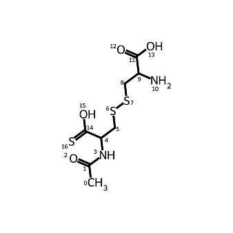 CC(=O)NC(CSSCC(N)C(=O)O)C(O)=S